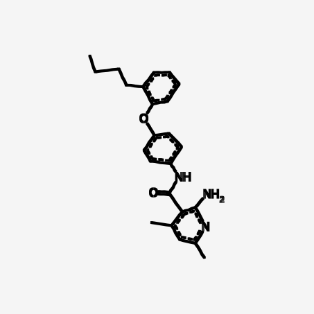 CCCCc1ccccc1Oc1ccc(NC(=O)c2c(C)cc(C)nc2N)cc1